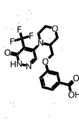 O=C(O)c1cccc(OCC2COCCN2c2cn[nH]c(=O)c2C(F)(F)F)c1